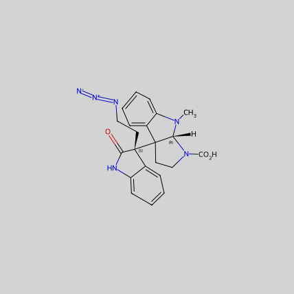 CN1c2ccccc2C2([C@@]3(CCN=[N+]=[N-])C(=O)Nc4ccccc43)CCN(C(=O)O)[C@@H]12